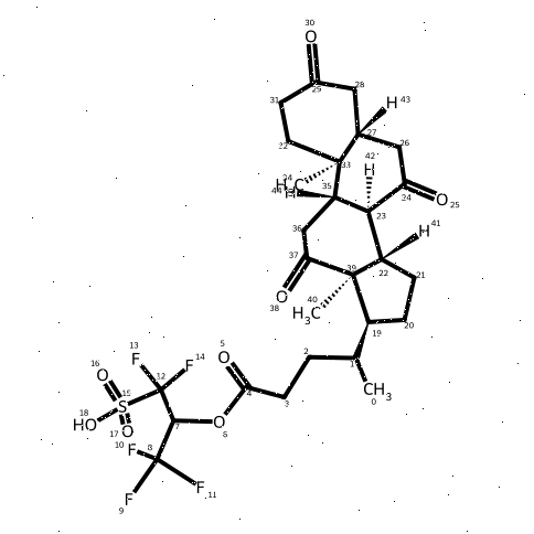 CC(CCC(=O)OC(C(F)(F)F)C(F)(F)S(=O)(=O)O)[C@@H]1CC[C@H]2[C@@H]3C(=O)C[C@H]4CC(=O)CC[C@]4(C)[C@H]3CC(=O)[C@]12C